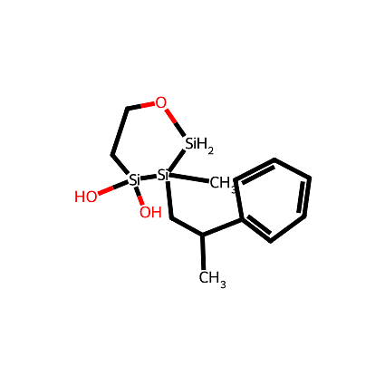 CC(C[Si]1(C)[SiH2]OCC[Si]1(O)O)c1ccccc1